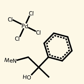 CNCC(C)(O)c1ccccc1.[Cl][Pd]([Cl])([Cl])[Cl]